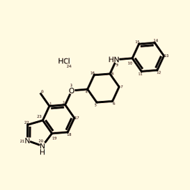 Cc1c(OC2CCCC(Nc3ccccc3)C2)ccc2[nH]ncc12.Cl